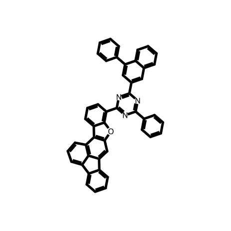 c1ccc(-c2nc(-c3cc(-c4ccccc4)c4ccccc4c3)nc(-c3cccc4c3oc3cc5c6c(cccc6c34)-c3ccccc3-5)n2)cc1